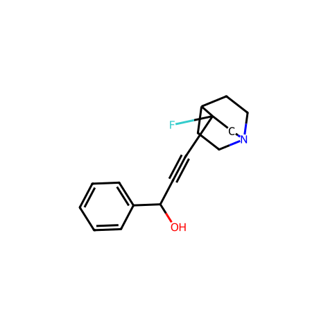 OC(C#CC1(F)CN2CCC1CC2)c1ccccc1